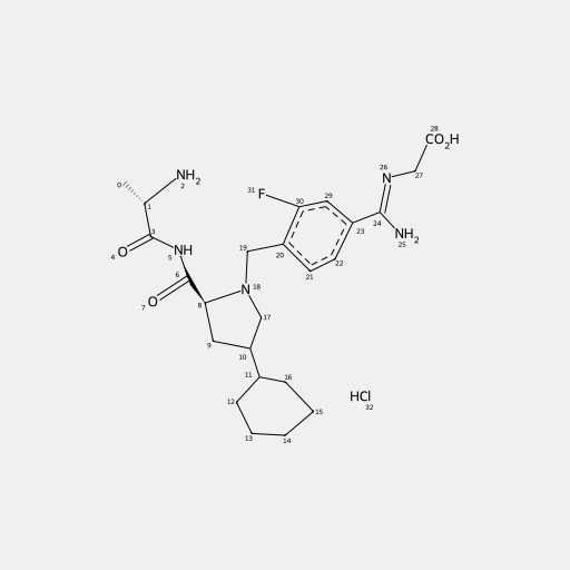 C[C@H](N)C(=O)NC(=O)[C@@H]1CC(C2CCCCC2)CN1Cc1ccc(C(N)=NCC(=O)O)cc1F.Cl